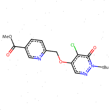 COC(=O)c1ccc(COc2cnn(C(C)(C)C)c(=O)c2Cl)nc1